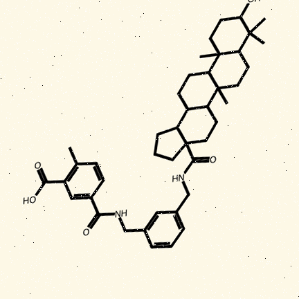 Cc1ccc(C(=O)NCc2cccc(CNC(=O)C34CCCC3C3CCC5C(C)(CCC6C(C)(C)C(O)CCC65C)C3CC4)c2)cc1C(=O)O